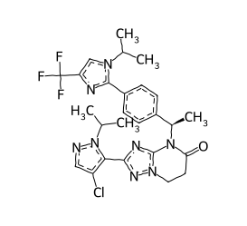 CC(C)n1cc(C(F)(F)F)nc1-c1ccc([C@@H](C)N2C(=O)CCn3nc(-c4c(Cl)cnn4C(C)C)nc32)cc1